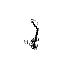 CCCCCCCC/C=C\CCCCCCCC(=O)OCC(COS(=O)P(=O)=O)OC